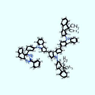 CC1(C)c2ccccc2-c2ccc(-n3c4ccccc4c4cc(-c5ccc6c(c5)c5cc(-c7ccc8c(c7)c7ccccc7n8-c7cccc(-c8nc(-c9ccccc9)nc9ccc%10ccccc%10c89)c7)ccc5n6-c5ccc6c(c5)C(C)(C)c5ccccc5-6)ccc43)cc21